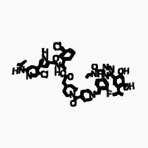 CCNC(=O)c1nnc(-c2cc(C(C)C)c(O)cc2O)n1-c1ccc(CN2CCC(C(=O)N3CCC(CC(=O)OCC(NC(=O)c4cc(-c5cc(NC(C)C)ncc5Cl)c[nH]4)c4cccc(Cl)c4)CC3)CC2)c(F)c1